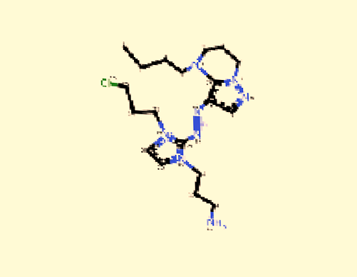 CCCCN1CCCn2ncc(/N=N/c3n(CCCN)cc[n+]3CCCCl)c21